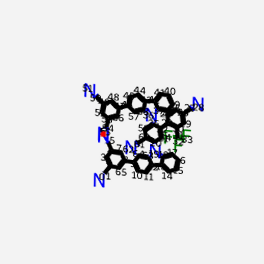 N#Cc1cc(C#N)cc(-c2ccc3c4ccccc4n(-c4cc(-c5ccc(C#N)cc5C(F)(F)F)c(-n5c6ccccc6c6ccc(-c7cc(C#N)cc(C#N)c7)cc65)cc4C#N)c3c2)c1